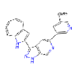 COc1cncc(-c2cc3c(-c4cc5c([nH]4)C=C=CC=C5)n[nH]c3cn2)c1